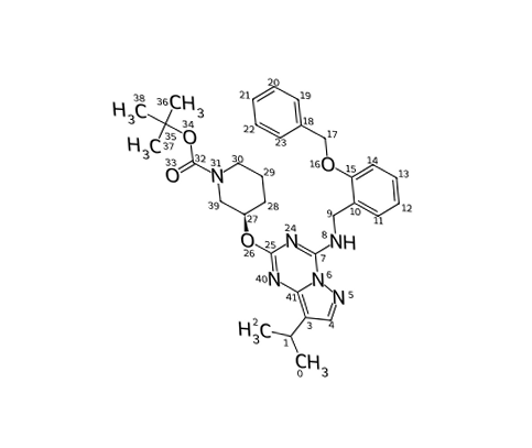 CC(C)c1cnn2c(NCc3ccccc3OCc3ccccc3)nc(O[C@@H]3CCCN(C(=O)OC(C)(C)C)C3)nc12